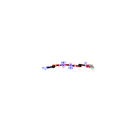 CC(C)(C)OC(=O)NCCCCc1ccc(OCCOCCNC(=O)NCCCCNC(=O)NCCOCCOc2ccc(CCCCN)cc2)cc1